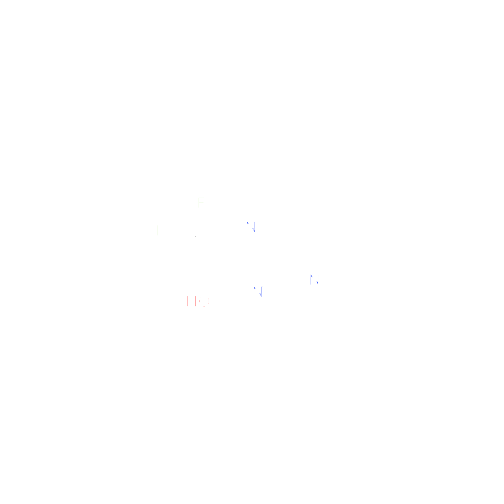 Oc1nc2ncccc2nc1C(F)(F)F